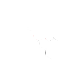 C[CH]OC(CCCC)OCCC